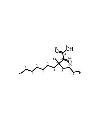 CCCCCCCC(C)(CCCC)C(=O)C(=O)O